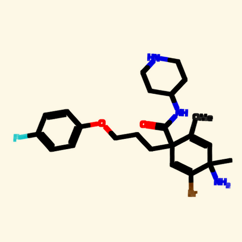 COC1=CC(C)(N)C(Br)=CC1(CCCOc1ccc(F)cc1)C(=O)NC1CCNCC1